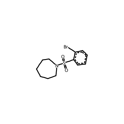 O=S(=O)(c1ccccc1Br)N1CCCCCC1